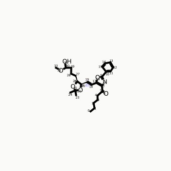 CCCCCC(=O)c1nc(-c2ccccc2)oc1/C=C/[C@H]1OC(C)(C)O[C@H]1CCCC(O)OC